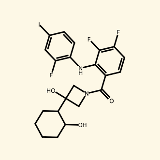 O=C(c1ccc(F)c(F)c1Nc1ccc(I)cc1F)N1CC(O)(C2CCCCC2O)C1